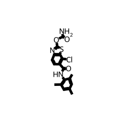 Cc1cc(C)c(NC(=O)c2ccc3nc(OC(N)=O)sc3c2Cl)c(C)c1